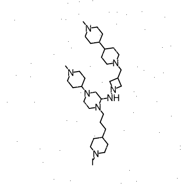 CN1CCC(C2CCN(CC3CN(NC4CN(C5CCN(C)CC5)CCN4CCCC4CCN(I)CC4)C3)CC2)CC1